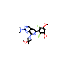 COc1cc(OC)c(F)c(-c2cc3cnc(N(C)C)nc3c(N3CC(C)(OC)C3)n2)c1F